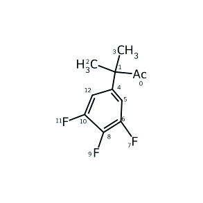 CC(=O)C(C)(C)c1cc(F)c(F)c(F)c1